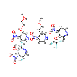 COCCOc1cnccc1[N+](=O)[O-].COCCc1cnccc1[N+](=O)[O-].COc1c(F)ncc(F)c1[N+](=O)[O-].O=[N+]([O-])c1ccncc1OC(F)(F)F